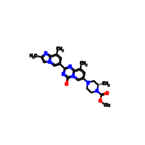 Cc1cn2cc(-c3nc(=O)n4cc(N5CCN(C(=O)OC(C)(C)C)[C@@H](C)C5)cc(C)c4n3)cc(C)c2n1